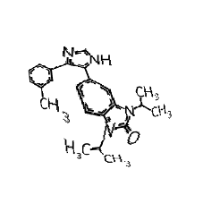 Cc1cccc(-c2nc[nH]c2-c2ccc3c(c2)n(C(C)C)c(=O)n3C(C)C)c1